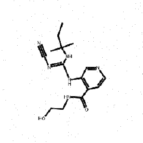 CCC(C)(C)N/C(=N\C#N)Nc1cnccc1C(=O)NCCO